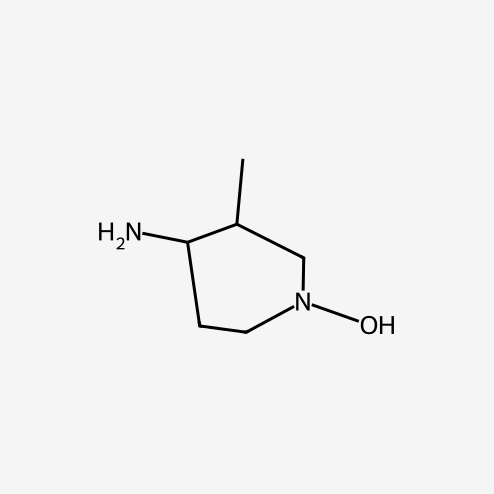 CC1CN(O)CCC1N